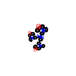 c1cc(-c2ccc3nc(-c4ccc(-n5c6ccccc6c6ccc7oc8ccccc8c7c65)cc4)nc(-c4ccc(-n5c6ccccc6c6ccc7oc8ccccc8c7c65)cc4)c3c2)cc(-n2c3ccccc3c3ccc4oc5ccccc5c4c32)c1